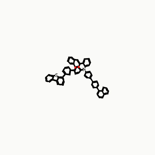 c1cc(-c2ccc(N(c3ccc(-c4ccc(-c5cccc6ccccc56)cc4)cc3)c3ccccc3-c3ccc4ccccc4c3)cc2)cc(-c2cccc3c2sc2ccccc23)c1